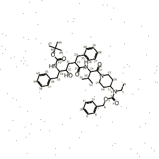 CCN(C(=O)OCc1ccccc1)C1CCN(C(=O)C(NC(=O)C(Cc2ccccc2)CC(O)C(Cc2ccccc2)NC(=O)OC(C)(C)C)C(C)C)CC1